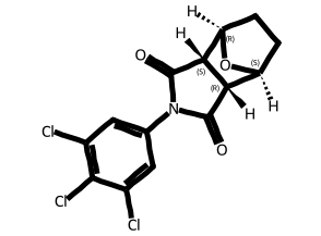 O=C1[C@@H]2[C@H](C(=O)N1c1cc(Cl)c(Cl)c(Cl)c1)[C@H]1CC[C@@H]2O1